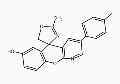 Cc1ccc(-c2cnc3c(c2)C2(COC(N)=N2)c2cc(O)ccc2O3)cc1